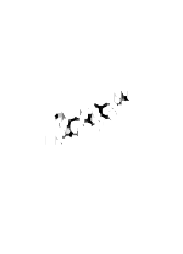 CO/N=C(/C(=O)NC1C(=O)N2C(C(=O)O)=C(CSc3nncs3)CS[C@H]12)c1nsc(N)n1